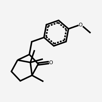 COc1ccc(CC2C(=O)C3(C)CCC2C3(C)C)cc1